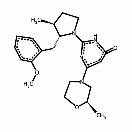 COc1ccccc1C[C@@H]1[C@@H](C)CCN1c1nc(N2CCO[C@H](C)C2)cc(=O)[nH]1